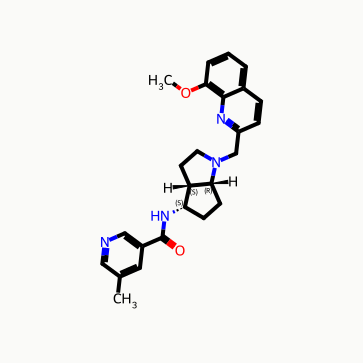 COc1cccc2ccc(CN3CC[C@H]4[C@@H](NC(=O)c5cncc(C)c5)CC[C@H]43)nc12